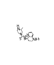 CC1CN(C(=S)N/N=C2/CCNc3cccnc32)CCN1